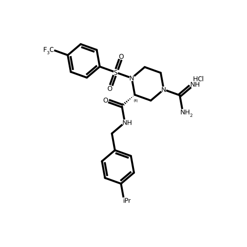 CC(C)c1ccc(CNC(=O)[C@H]2CN(C(=N)N)CCN2S(=O)(=O)c2ccc(C(F)(F)F)cc2)cc1.Cl